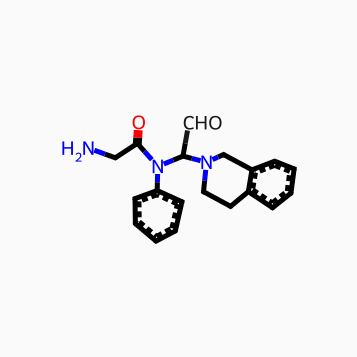 NCC(=O)N(c1ccccc1)C(C=O)N1CCc2ccccc2C1